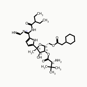 CCC(CC)C(=O)N/C(=N/C=N)c1ccc([C@]2(C)O[C@H](COC(=O)CC3CCCCC3)[C@@H](OC(=O)[C@H](N)C(C)(C)C)[C@H]2O)[nH]1